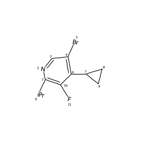 CC(C)c1ncc(Br)c(C2CC2)c1F